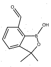 CC1(C)OB(O)c2c(C=O)cccc21